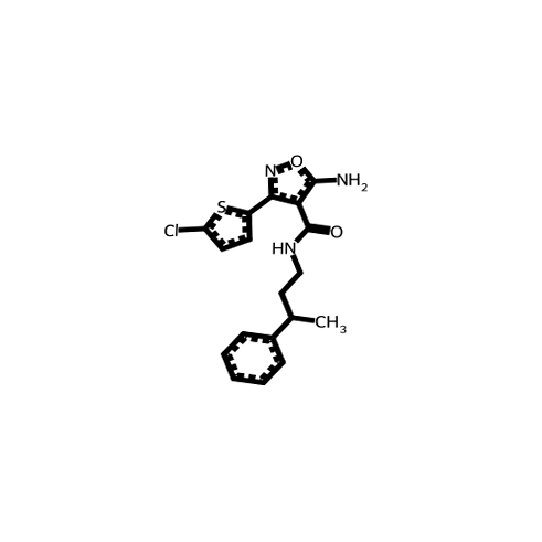 CC(CCNC(=O)c1c(-c2ccc(Cl)s2)noc1N)c1ccccc1